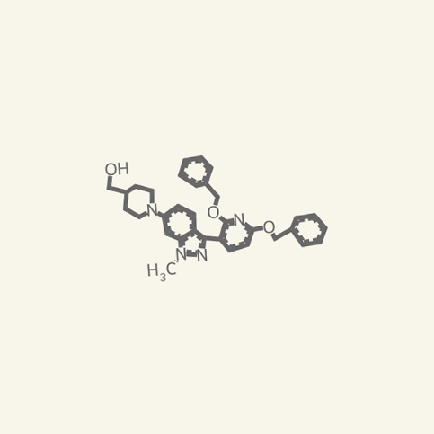 Cn1nc(-c2ccc(OCc3ccccc3)nc2OCc2ccccc2)c2ccc(N3CCC(CO)CC3)cc21